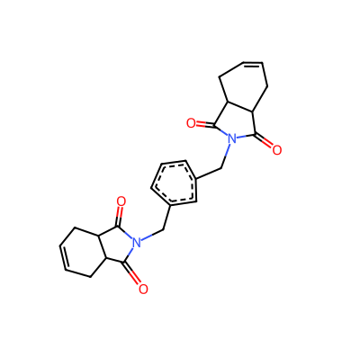 O=C1C2CC=CCC2C(=O)N1Cc1cccc(CN2C(=O)C3CC=CCC3C2=O)c1